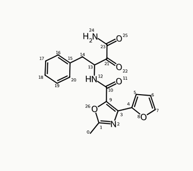 Cc1nc(-c2ccco2)c(C(=O)NC(Cc2ccccc2)C(=O)C(N)=O)o1